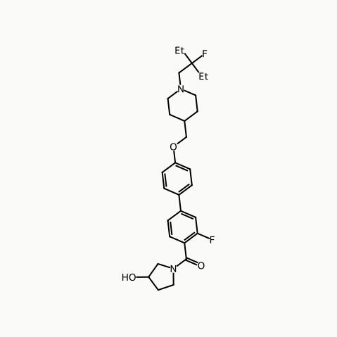 CCC(F)(CC)CN1CCC(COc2ccc(-c3ccc(C(=O)N4CCC(O)C4)c(F)c3)cc2)CC1